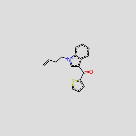 C=CCCn1cc(C(=O)c2cccs2)c2ccccc21